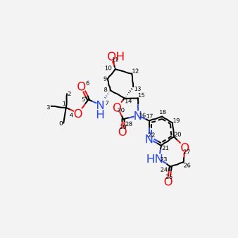 CC(C)(C)OC(=O)N[C@@H]1C[C@@H](O)CC[C@@]12CN(c1ccc3c(n1)NC(=O)CO3)C(=O)O2